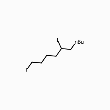 CCCCCC(I)CCCCI